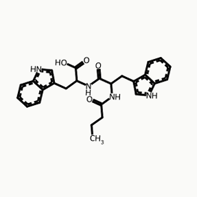 CCCC(=O)NC(Cc1c[nH]c2ccccc12)C(=O)NC(Cc1c[nH]c2ccccc12)C(=O)O